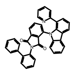 O=C1c2cccc(-n3c4ccccc4c4cccc(-c5ccccn5)c43)c2C(=O)N1c1ccccc1-c1ccccc1